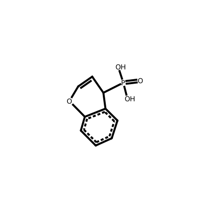 O=P(O)(O)C1C=COc2ccccc21